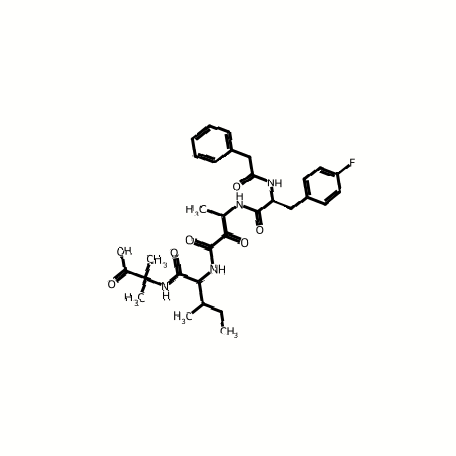 CCC(C)C(NC(=O)C(=O)C(C)NC(=O)C(Cc1ccc(F)cc1)NC(=O)Cc1ccccc1)C(=O)NC(C)(C)C(=O)O